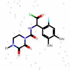 CCN1CCN(C(=O)NC(C(=O)Cl)c2cc(OC(C)=O)c(OC(C)=O)cc2F)C(=O)C1=O